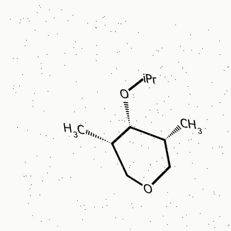 CC(C)O[C@@H]1[C@H](C)COC[C@@H]1C